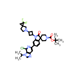 CC(C)n1cnc2cc(-c3ccc4c(c3)N(C3CC(N5CCC6(C5)CC6(F)F)C3)C(=O)C43CCN(C(=O)OC(C)(C)C)CC3)nc(Cl)c21